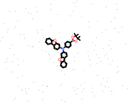 CC1(C)OB(c2ccc(N(c3ccc4c(c3)oc3ccccc34)c3ccc4c(c3)oc3ccccc34)cc2)OC1(C)C